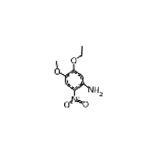 CCOc1cc(N)c([N+](=O)[O-])cc1OC